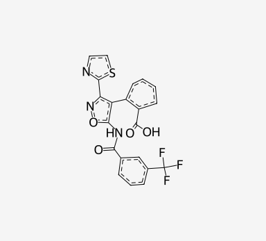 O=C(Nc1onc(-c2nccs2)c1-c1ccccc1C(=O)O)c1cccc(C(F)(F)F)c1